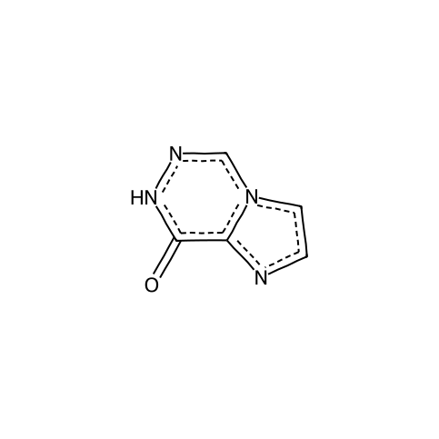 O=c1[nH]ncn2ccnc12